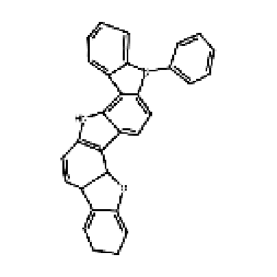 C1=CC2C3=CCCC=C3OC2c2c1[nH]c1c2ccc2c1c1ccccc1n2-c1ccccc1